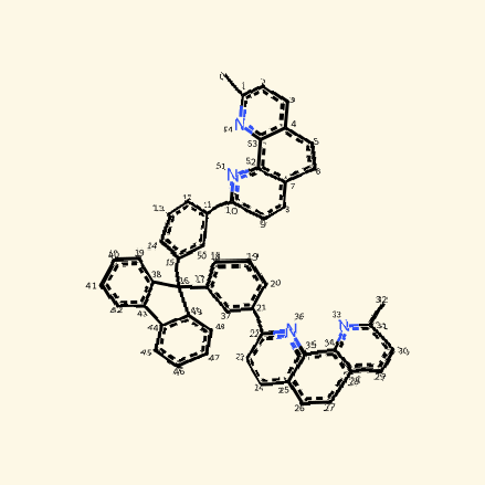 Cc1ccc2ccc3ccc(-c4cccc(C5(c6cccc(-c7ccc8ccc9ccc(C)nc9c8n7)c6)c6ccccc6-c6ccccc65)c4)nc3c2n1